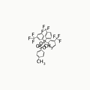 Cc1ccc(S(=O)(=O)OP(C)(c2cccc(C(F)(F)F)c2)(c2cccc(C(F)(F)F)c2)c2cccc(C(F)(F)F)c2)cc1